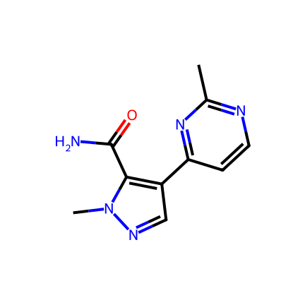 Cc1nccc(-c2cnn(C)c2C(N)=O)n1